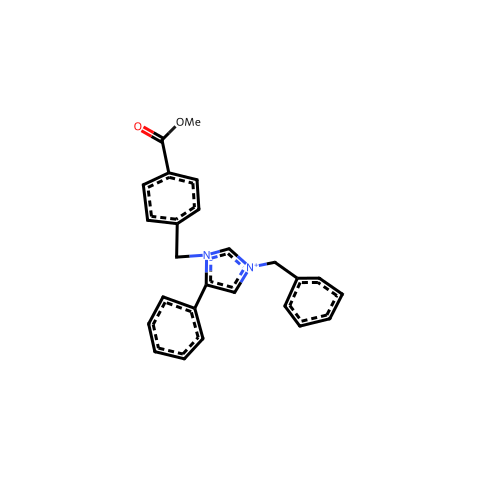 COC(=O)c1ccc(Cn2c[n+](Cc3ccccc3)cc2-c2ccccc2)cc1